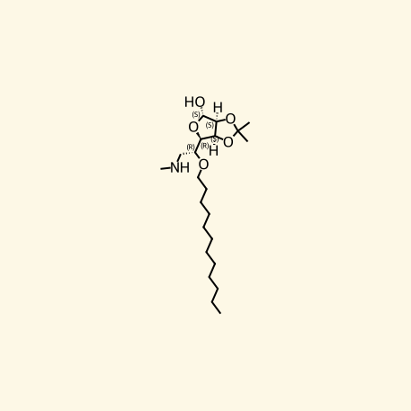 CCCCCCCCCCCCO[C@H](CNC)[C@H]1O[C@H](O)[C@H]2OC(C)(C)O[C@H]21